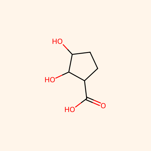 O=C(O)C1CCC(O)C1O